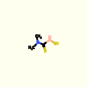 CN(C)C(=S)BS